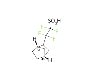 O=S(=O)(O)C(F)(F)C(F)(F)C1C[C@@H]2CC[C@H]1C2